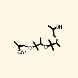 CC(O)COC(C)C(C)(C)OC(C)C(C)(C)OCC(C)O